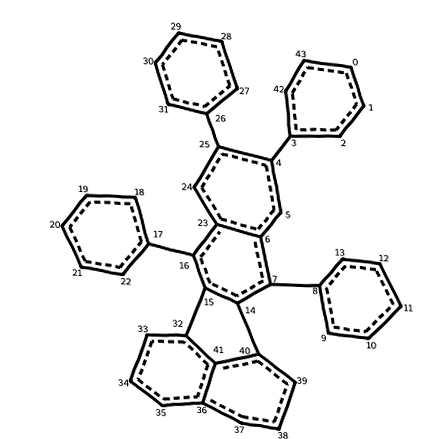 c1ccc(-c2cc3c(-c4ccccc4)c4c(c(-c5ccccc5)c3cc2-c2ccccc2)-c2cccc3cccc-4c23)cc1